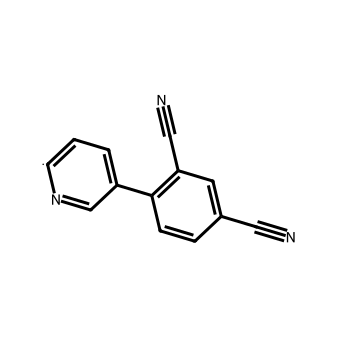 N#Cc1ccc(-c2cc[c]nc2)c(C#N)c1